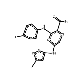 CCC(=O)c1ncc(Nc2cc(C)[nH]n2)nc1Nc1ccc(F)cc1